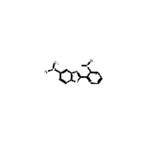 CC[S+]([O-])c1cccnc1-c1nc2cc([S+]([O-])C(F)(F)F)ccc2o1